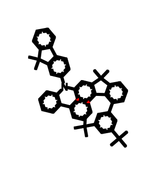 CC(C)(C)c1cc(-c2cccc3c2-c2ccc(N(c4ccc5c(c4)C(C)(C)c4ccccc4-5)c4ccccc4-c4ccccc4)cc2C3(C)C)cc(C(C)(C)C)c1